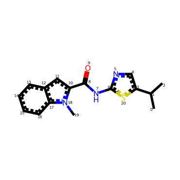 CC(C)c1cnc(NC(=O)c2cc3ccccc3n2C)s1